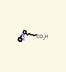 O=C(O)CCCCCCC1CCCC1NCc1ccccc1